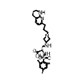 Cc1cc(C)c(S(=O)(=O)N[C@@H](CNC2CN(CCCc3ccc4c(n3)NCCC4)C2)C(=O)O)c(C)c1